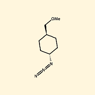 COC[C@H]1CC[C@H](N=[N+]=[N-])CC1